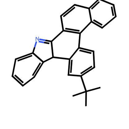 CC(C)(C)c1ccc2c(c1)C1C(=Nc3ccccc31)c1ccc3ccccc3c1-2